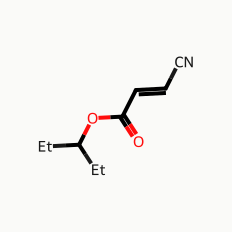 CCC(CC)OC(=O)C=CC#N